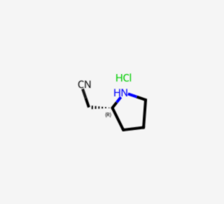 Cl.N#CC[C@H]1CCCN1